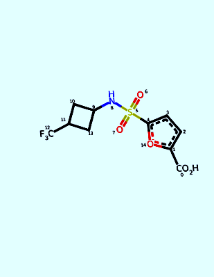 O=C(O)c1ccc(S(=O)(=O)NC2CC(C(F)(F)F)C2)o1